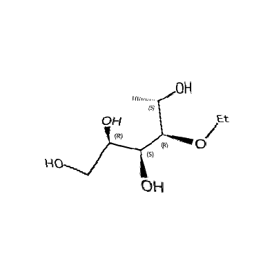 CCO[C@@H]([C@@H](O)[C@H](O)CO)[C@H](C)O